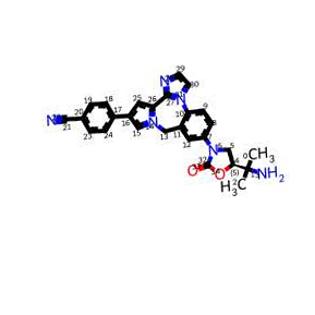 CC(C)(N)[C@@H]1CN(c2ccc3c(c2)Cn2cc(-c4ccc(C#N)cc4)cc2-c2nccn2-3)C(=O)O1